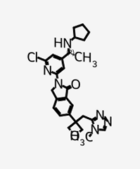 C[C@@H](NC1CCCC1)c1cc(Cl)nc(N2Cc3ccc(C4(Cc5nncn5C)COC4)cc3C2=O)c1